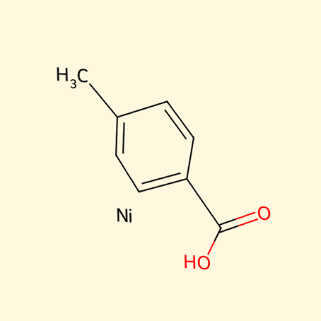 Cc1ccc(C(=O)O)cc1.[Ni]